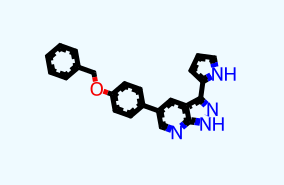 c1ccc(COc2ccc(-c3cnc4[nH]nc(-c5ccc[nH]5)c4c3)cc2)cc1